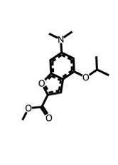 COC(=O)c1cc2c(OC(C)C)cc(N(C)C)cc2o1